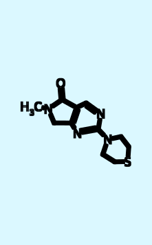 CN1Cc2nc(N3CCSCC3)ncc2C1=O